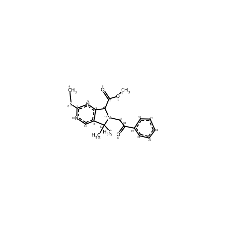 COC(=O)C1c2nc(SC)ncc2C(C)(C)N1CC(=O)c1ccccc1